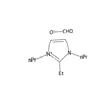 CCCn1cc[n+](CCC)c1CC.O=C[O-]